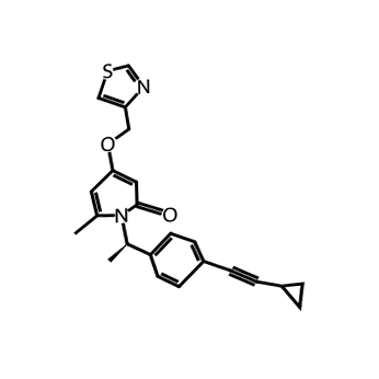 Cc1cc(OCc2cscn2)cc(=O)n1[C@H](C)c1ccc(C#CC2CC2)cc1